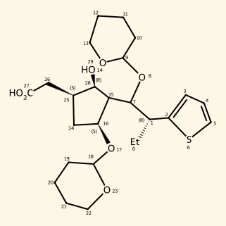 CC[C@@H](c1cccs1)C(OC1CCCCO1)C1[C@@H](OC2CCCCO2)C[C@@H](CC(=O)O)[C@H]1O